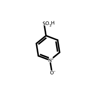 O=S(=O)(O)c1cc[n+]([O-])cc1